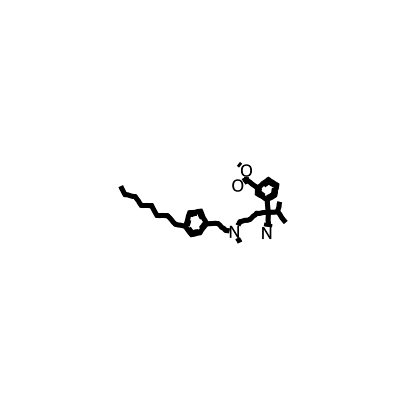 CCCCCCCCc1ccc(CCN(C)CCCC(C#N)(c2cccc(C(=O)OC)c2)C(C)C)cc1